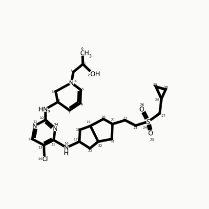 CC(O)CN1C=C=CC(Nc2ncc(Cl)c(NC3CC4CC(CCS(=O)(=O)CC5CC5)CC4C3)n2)C1